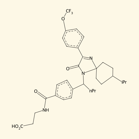 CCCC(c1ccc(C(=O)NCCC(=O)O)cc1)N1C(=O)C(c2ccc(OC(F)(F)F)cc2)=NC12CCC(C(C)C)CC2